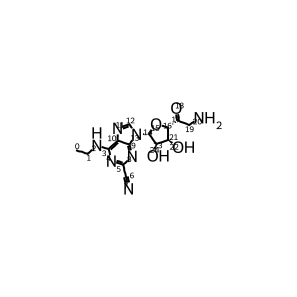 CCNc1nc(C#N)nc2c1ncn2[C@@H]1O[C@H](C(=O)CN)[C@@H](O)[C@H]1O